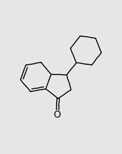 O=C1CC(C2CCCCC2)C2CC=CC=C12